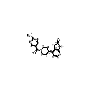 CC(C)(C)c1ncc(C(=O)N2CCC(c3ccnc4c3CC(=O)N4)CC2)cn1